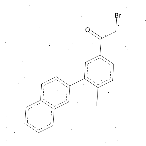 O=C(CBr)c1ccc(I)c(-c2ccc3ccccc3c2)c1